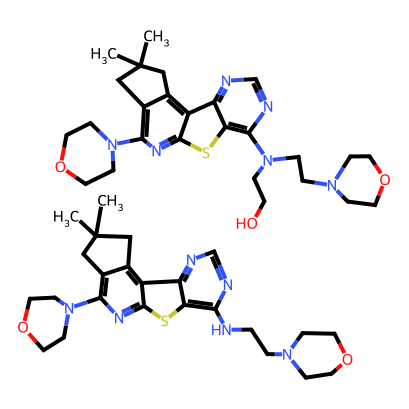 CC1(C)Cc2c(N3CCOCC3)nc3sc4c(N(CCO)CCN5CCOCC5)ncnc4c3c2C1.CC1(C)Cc2c(N3CCOCC3)nc3sc4c(NCCN5CCOCC5)ncnc4c3c2C1